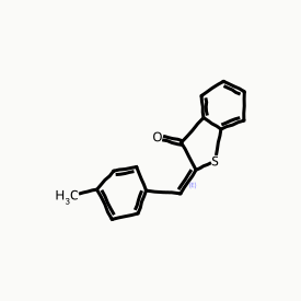 Cc1ccc(/C=C2/Sc3ccccc3C2=O)cc1